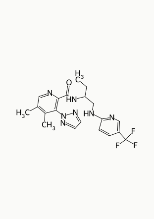 CCC(CNc1ccc(C(F)(F)F)cn1)NC(=O)c1ncc(C)c(C)c1-n1nccn1